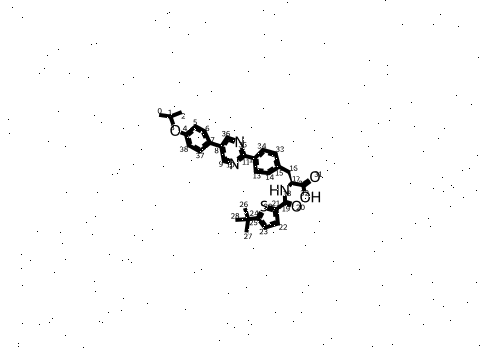 CC(C)Oc1ccc(-c2cnc(-c3ccc(C[C@H](NC(=O)c4ccc(C(C)(C)C)s4)C(=O)O)cc3)nc2)cc1